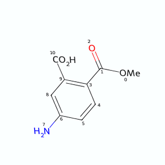 COC(=O)c1ccc(N)cc1C(=O)O